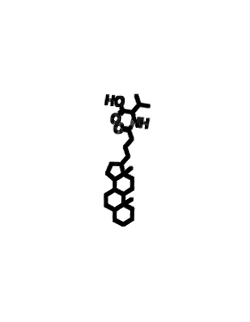 CC(C)C(NC(=O)CCCC1CCC2C3CCC4CCCCC4(C)C3CCC12C)C(=O)O